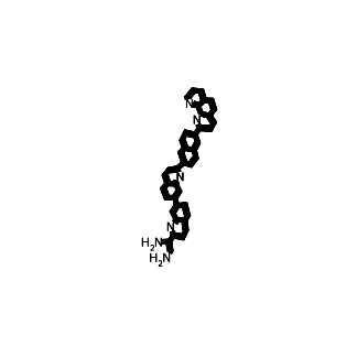 N/C=C(\N)c1ccc2ccc(-c3ccc4ccc(-c5ccc6cc(-c7ccc8ccc9cccnc9c8n7)ccc6c5)nc4c3)cc2n1